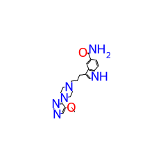 COc1cncnc1N1CCN(CCCc2c[nH]c3ccc(C(N)=O)cc23)CC1